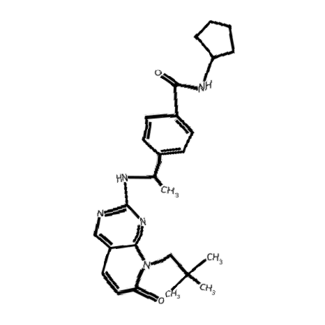 CC(Nc1ncc2ccc(=O)n(CC(C)(C)C)c2n1)c1ccc(C(=O)NC2CCCC2)cc1